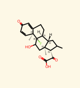 CC1C[C@H]2[C@@H]3CCC4=CC(=O)C=C[C@]4(C)[C@@]3(F)C(O)C[C@]2(C)[C@H]1C(=O)C(=O)O